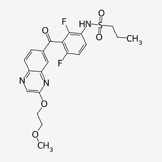 CCCS(=O)(=O)Nc1ccc(F)c(C(=O)c2ccc3ncc(OCCOC)nc3c2)c1F